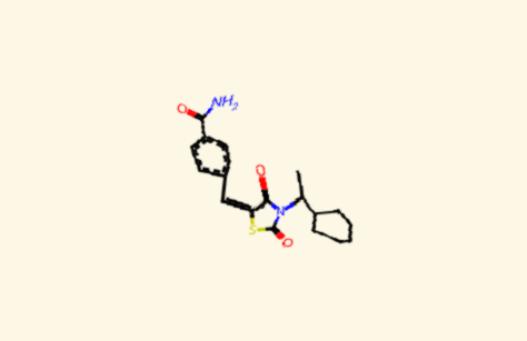 CC(C1CCCCC1)N1C(=O)SC(=Cc2ccc(C(N)=O)cc2)C1=O